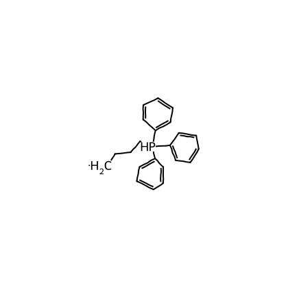 [CH2]CCC[PH](c1ccccc1)(c1ccccc1)c1ccccc1